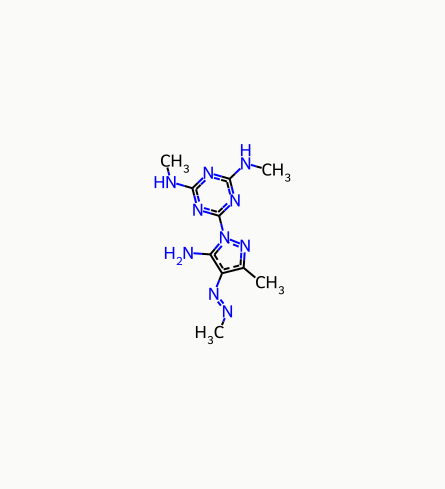 C/N=N/c1c(C)nn(-c2nc(NC)nc(NC)n2)c1N